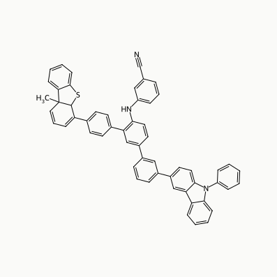 CC12C=CC=C(c3ccc(-c4cc(-c5cccc(-c6ccc7c(c6)c6ccccc6n7-c6ccccc6)c5)ccc4Nc4cccc(C#N)c4)cc3)C1Sc1ccccc12